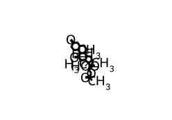 CC(=O)OCC(=O)[C@@]1(O)[C@@H](C)C[C@H]2[C@@H]3CCC4CC(=O)CC[C@]4(C)[C@H]3C(=O)C[C@@]21C